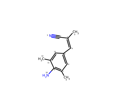 C/C(C#N)=C/c1cc(C)c(N)c(C)c1